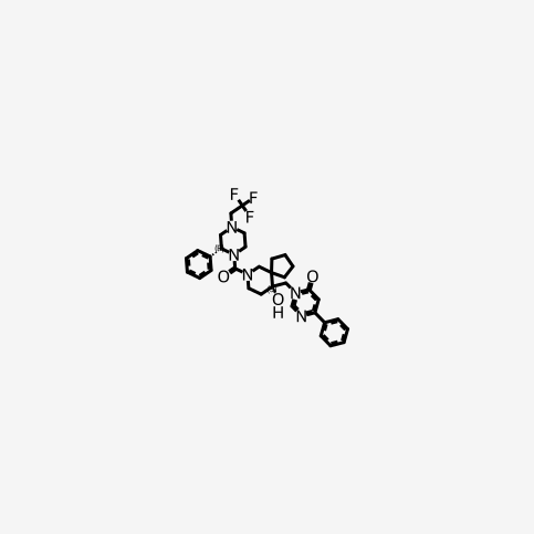 O=C(N1CC[C@@](O)(Cn2cnc(-c3ccccc3)cc2=O)C2(CCCC2)C1)N1CCN(CC(F)(F)F)C[C@H]1c1ccccc1